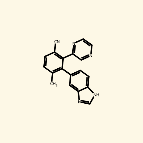 Cc1ccc(C#N)c(-c2cnccn2)c1-c1ccc2[nH]cnc2c1